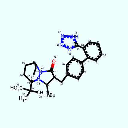 CCCCC1C(Cc2ccc(-c3ccccc3-c3nnn[nH]3)cc2)C(=O)N2C3CCC(C(C)(C)C(=O)O)(CC3)N12